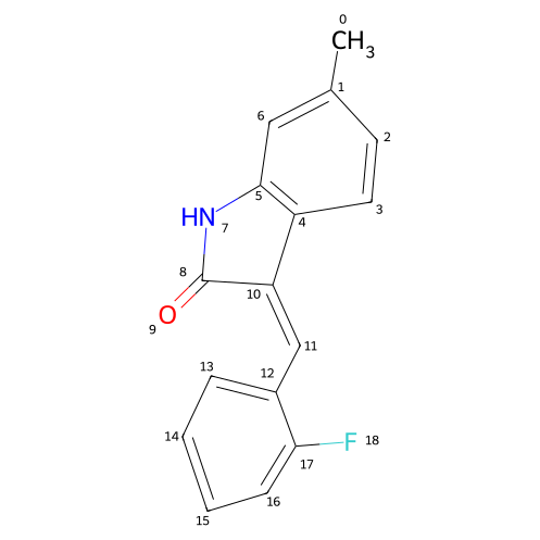 Cc1ccc2c(c1)NC(=O)C2=Cc1ccccc1F